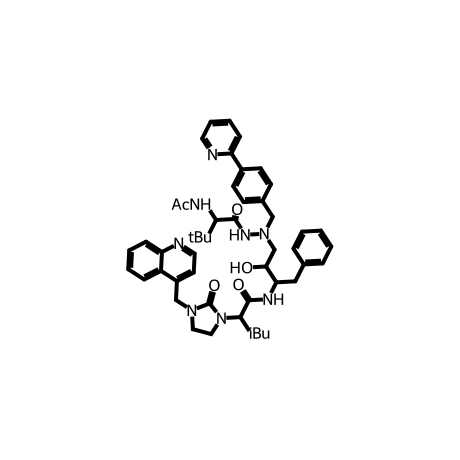 CCC(C)C(C(=O)NC(Cc1ccccc1)C(O)CN(Cc1ccc(-c2ccccn2)cc1)NC(=O)C(NC(C)=O)C(C)(C)C)N1CCN(Cc2ccnc3ccccc23)C1=O